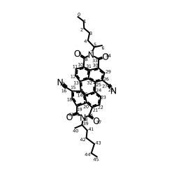 CCCCCC(C)N1C(=O)c2ccc3c4c(C#N)cc5c6c(ccc(c7c(C#N)cc(c2c37)C1=O)c64)C(=O)N(C(C)CCCCC)C5=O